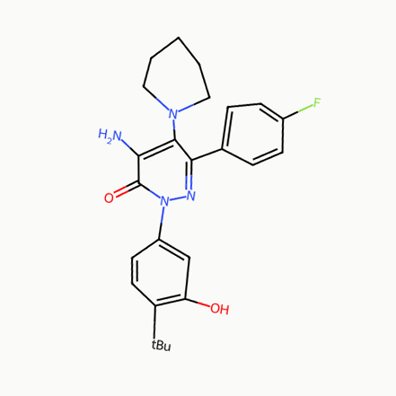 CC(C)(C)c1ccc(-n2nc(-c3ccc(F)cc3)c(N3CCCCC3)c(N)c2=O)cc1O